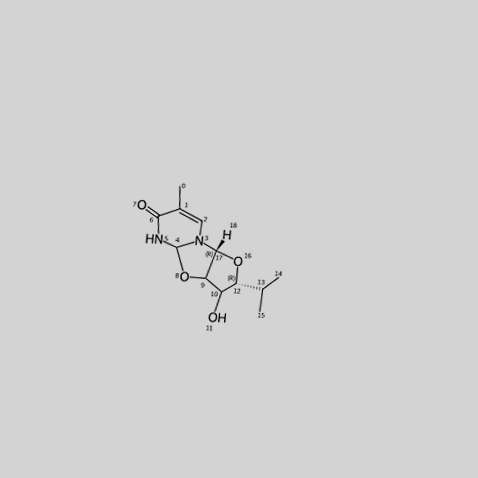 CC1=CN2C(NC1=O)OC1C(O)[C@@H](C(C)C)O[C@H]12